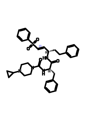 O=C(N[C@H](/C=C/S(=O)(=O)c1ccccc1)CCc1ccccc1)[C@H](Cc1ccccc1)NC(=O)N1CCN(C2CC2)CC1